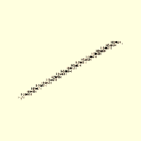 NNNNNNNNNNNNNNNNNNNNNNNNNNNNNNNNNNNNNNN